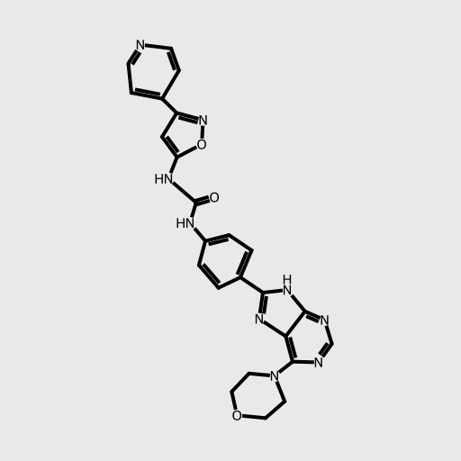 O=C(Nc1ccc(-c2nc3c(N4CCOCC4)ncnc3[nH]2)cc1)Nc1cc(-c2ccncc2)no1